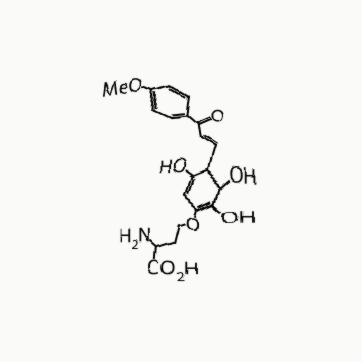 COc1ccc(C(=O)C=CC2C(O)=CC(OCCC(N)C(=O)O)=C(O)C2O)cc1